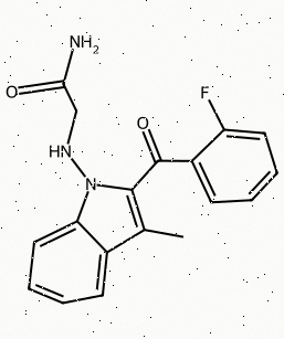 Cc1c(C(=O)c2ccccc2F)n(NCC(N)=O)c2ccccc12